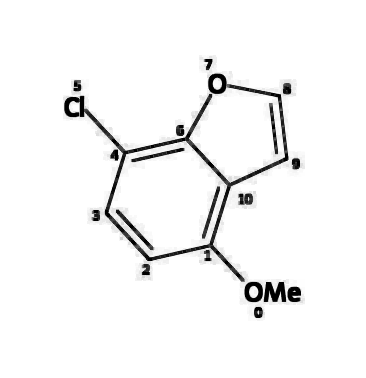 COc1ccc(Cl)c2occc12